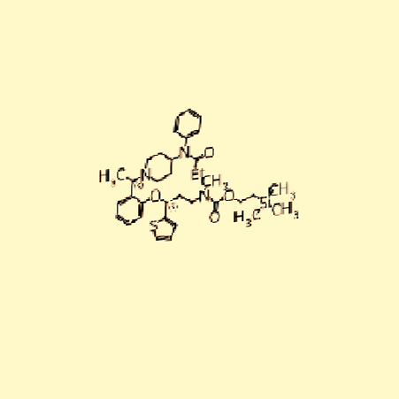 CCC(=O)N(c1ccccc1)C1CCN([C@H](C)c2ccccc2O[C@@H](CCN(C)C(=O)OCC[Si](C)(C)C)c2cccs2)CC1